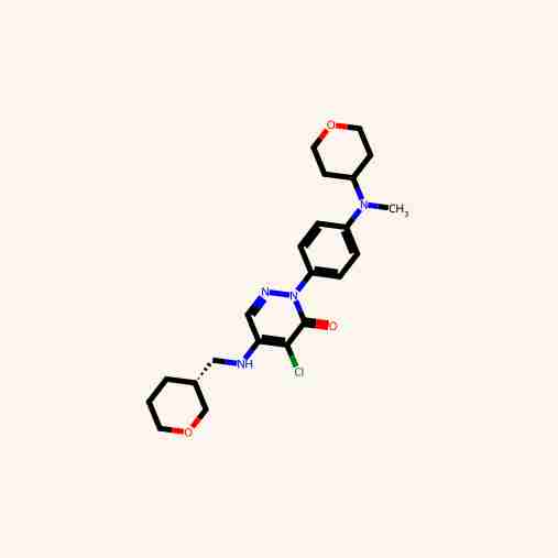 CN(c1ccc(-n2ncc(NC[C@H]3CCCOC3)c(Cl)c2=O)cc1)C1CCOCC1